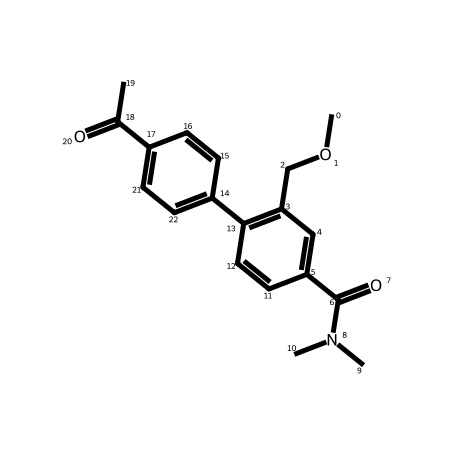 COCc1cc(C(=O)N(C)C)ccc1-c1ccc(C(C)=O)cc1